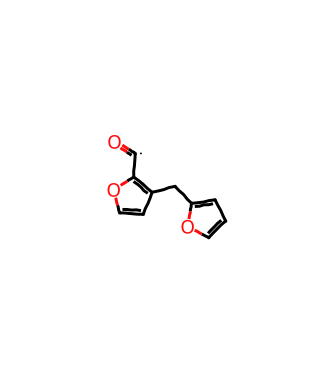 O=[C]c1occc1Cc1ccco1